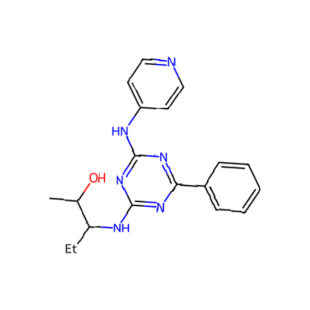 CCC(Nc1nc(Nc2ccncc2)nc(-c2ccccc2)n1)C(C)O